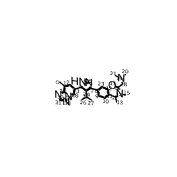 Cc1cc(-c2[nH]nc(-c3ccc(C(C)N(C)C(=O)CN(C)C)cc3)c2C(C)C)cn2ncnc12